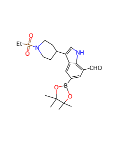 CCS(=O)(=O)N1CCC(c2c[nH]c3c(C=O)cc(B4OC(C)(C)C(C)(C)O4)cc23)CC1